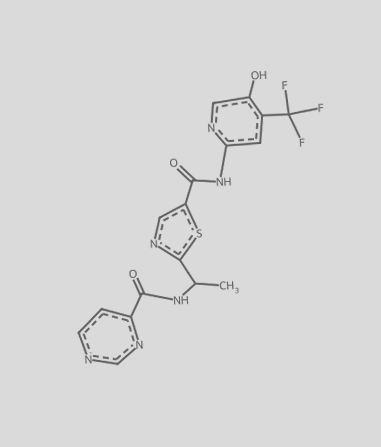 CC(NC(=O)c1ccncn1)c1ncc(C(=O)Nc2cc(C(F)(F)F)c(O)cn2)s1